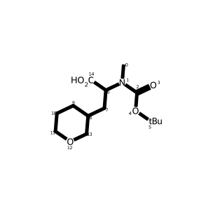 CN(C(=O)OC(C)(C)C)C(CC1CCCOC1)C(=O)O